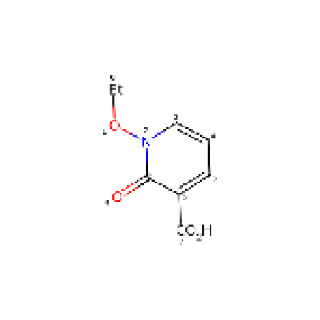 CCOn1cccc(C(=O)O)c1=O